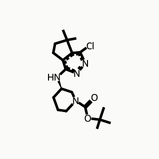 CC(C)(C)OC(=O)N1CCC[C@@H](Nc2nnc(Cl)c3c2CCC3(C)C)C1